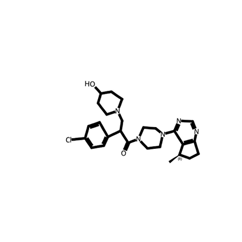 C[C@@H]1CCc2ncnc(N3CCN(C(=O)C(CN4CCC(O)CC4)c4ccc(Cl)cc4)CC3)c21